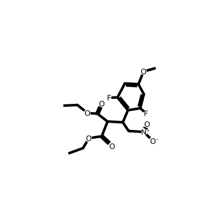 CCOC(=O)C(C(=O)OCC)C(C[N+](=O)[O-])c1c(F)cc(OC)cc1F